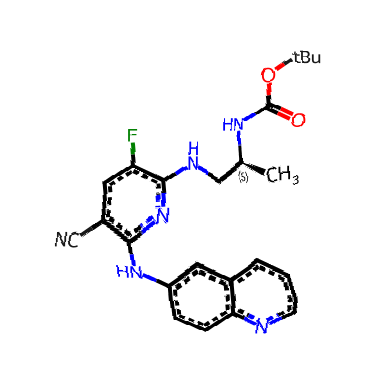 C[C@@H](CNc1nc(Nc2ccc3ncccc3c2)c(C#N)cc1F)NC(=O)OC(C)(C)C